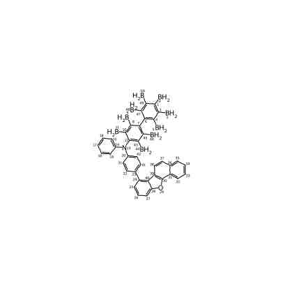 Bc1c(B)c(B)c(-c2c(B)c(B)c(N(c3ccccc3)c3ccc(-c4cccc5oc6c7ccccc7ccc6c45)cc3)c(B)c2B)c(B)c1B